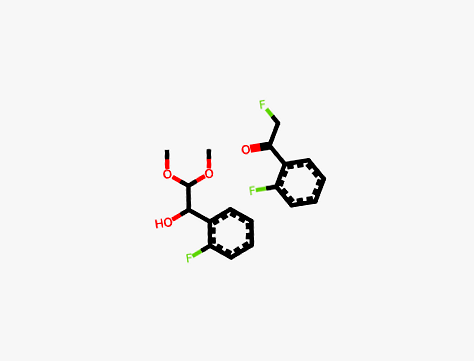 COC(OC)C(O)c1ccccc1F.O=C(CF)c1ccccc1F